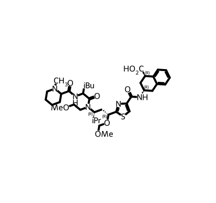 CCC(C)C(NC(=O)C1CCCCN1C)C(=O)N(CCOC)[C@H](C[C@@H](OCOC)c1nc(C(=O)N[C@H]2Cc3ccccc3[C@H](C(=O)O)C2)cs1)C(C)C